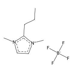 CCCc1n(C)cc[n+]1C.F[B-](F)(F)F